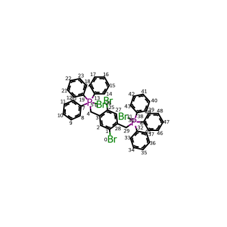 Brc1cc(CP(Br)(c2ccccc2)(c2ccccc2)c2ccccc2)c(Br)cc1CP(Br)(c1ccccc1)(c1ccccc1)c1ccccc1